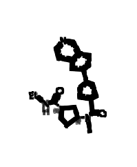 CCNC(=O)[C@H]1CC[C@@H](N(C)C(=O)c2ccc(-c3ccc4cnccc4c3)cc2)C1